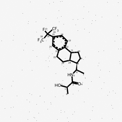 CC(O)C(=O)NC(C)[C@@H]1CCC2c3ccc(C(F)(C(F)(F)F)C(F)(F)F)cc3CCC21